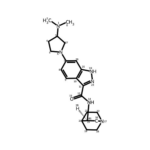 CN(C)C1CCN(c2ccc3c(C(=O)N[C@H]4CN5CCC4CC5)n[nH]c3c2)C1